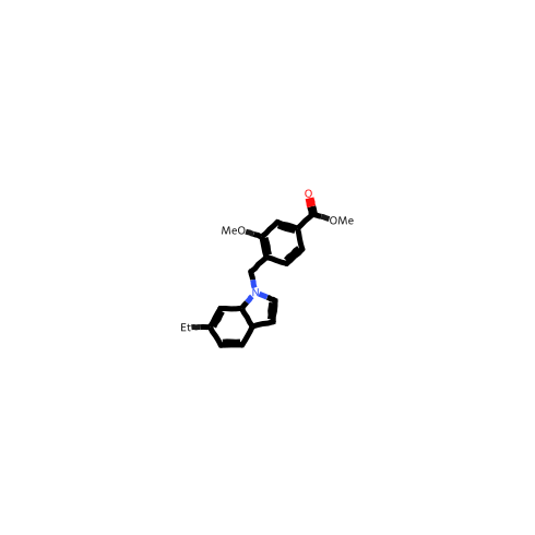 CCC1=CC2C(C=C1)C=CN2Cc1ccc(C(=O)OC)cc1OC